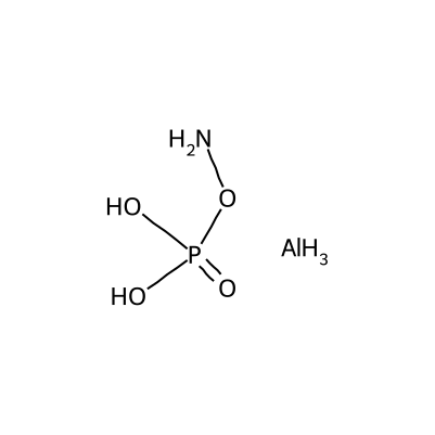 NOP(=O)(O)O.[AlH3]